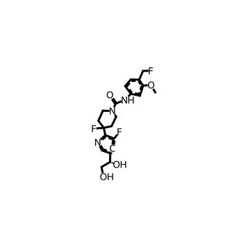 COc1cc(NC(=O)N2CCC(F)(c3ncc([C@H](O)CO)cc3F)CC2)ccc1CF